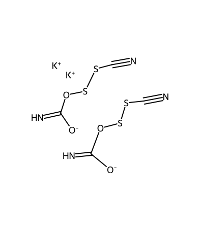 N#CSSOC(=N)[O-].N#CSSOC(=N)[O-].[K+].[K+]